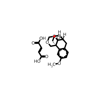 COc1ccc2c(c1)[C@]13CCN[C@H](C2)[C@]1(C)OCOC3.O=C(O)/C=C/C(=O)O